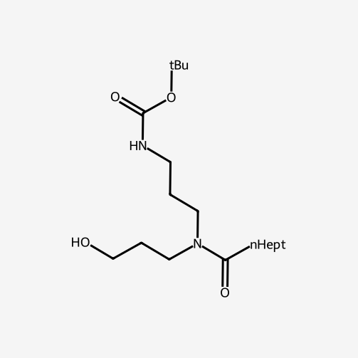 CCCCCCCC(=O)N(CCCO)CCCNC(=O)OC(C)(C)C